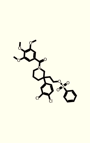 COc1cc(C(=O)N2CCCC(CCOS(=O)(=O)c3ccccc3)(c3ccc(Cl)c(Cl)c3)C2)cc(OC)c1OC